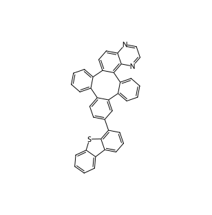 c1ccc2c(c1)-c1ccc(-c3cccc4c3sc3ccccc34)cc1-c1ccccc1-c1c-2ccc2nccnc12